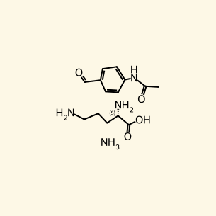 CC(=O)Nc1ccc(C=O)cc1.N.NCCC[C@H](N)C(=O)O